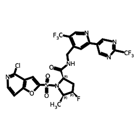 C[C@@H]1[C@H](F)C[C@H](C(=O)NCc2cc(-c3cnc(C(F)(F)F)nc3)ncc2C(F)(F)F)N1S(=O)(=O)c1cc2c(Cl)nccc2o1